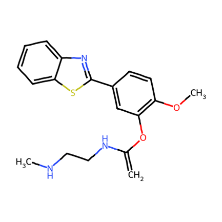 C=C(NCCNC)Oc1cc(-c2nc3ccccc3s2)ccc1OC